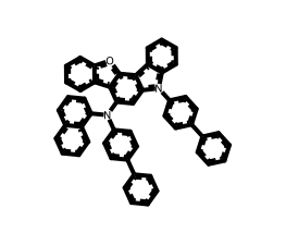 c1ccc(-c2ccc(N(c3cccc4ccccc34)c3cc4c(c5ccccc5n4-c4ccc(-c5ccccc5)cc4)c4oc5ccccc5c34)cc2)cc1